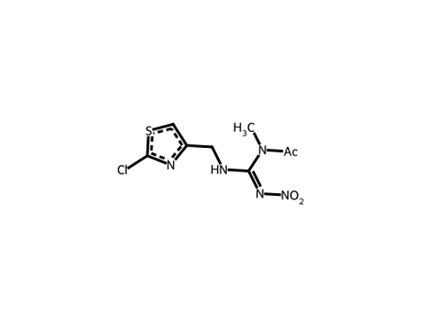 CC(=O)N(C)C(=N[N+](=O)[O-])NCc1csc(Cl)n1